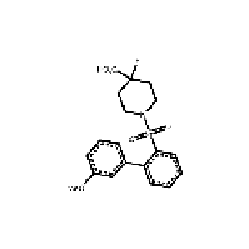 COc1cccc(-c2ccccc2S(=O)(=O)N2CCC(F)(C(=O)O)CC2)c1